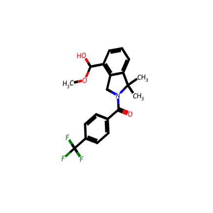 COC(O)c1cccc2c1CN(C(=O)c1ccc(C(F)(F)F)cc1)C2(C)C